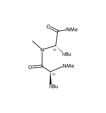 CCCC[C@H](NC)C(=O)N(C)[C@@H](CCCC)C(=O)NC